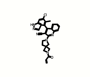 C=CC(=O)N1CC2(CCN(c3nc4ccccc4c(-c4c(C)c(Cl)cc5[nH]ncc45)c3C#N)C2)C1